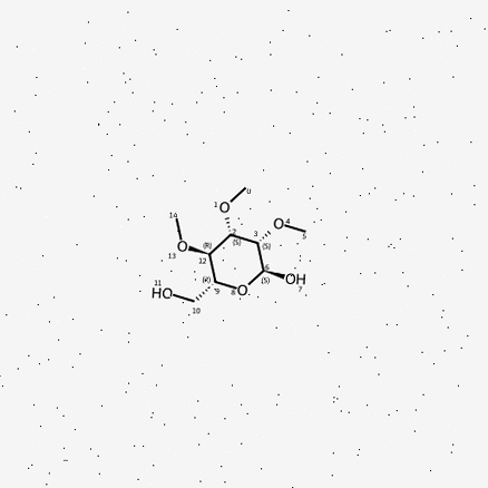 CO[C@@H]1[C@H](OC)[C@@H](O)O[C@H](CO)[C@H]1OC